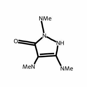 CNc1[nH]n(NC)c(=O)c1NC